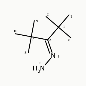 CC(C)(C)C(=NN)C(C)(C)C